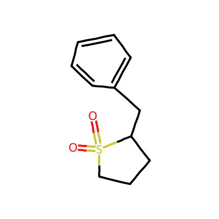 O=S1(=O)CCCC1Cc1ccccc1